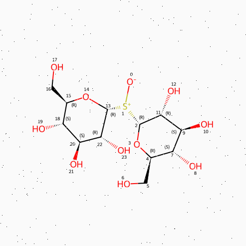 [O-][S+]([C@H]1O[C@H](CO)[C@@H](O)[C@H](O)[C@H]1O)[C@H]1O[C@H](CO)[C@@H](O)[C@H](O)[C@H]1O